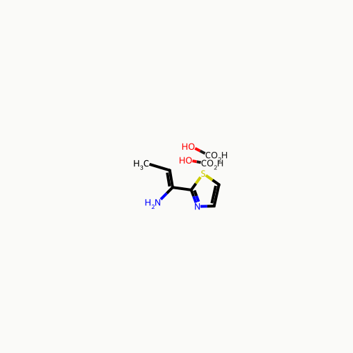 CC=C(N)c1nccs1.O=C(O)O.O=C(O)O